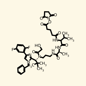 CC(C)C(NC(=O)CCCC(=O)ON1C(=O)CCC1=O)C(=O)N[C@@H](C)C(=O)NCCCN(C(=O)CO)[C@@H](c1nc(-c2cc(F)ccc2F)cn1Cc1ccccc1)C(C)(C)C